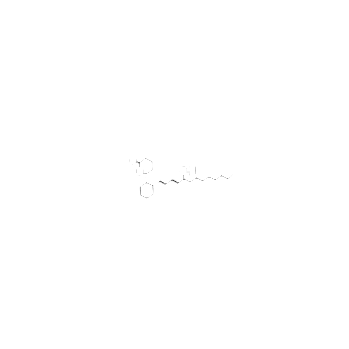 CCCCCCCCC(O)/C=C/C=C/[C@H]1CCCC[C@H]1C1CCCC(=O)O1